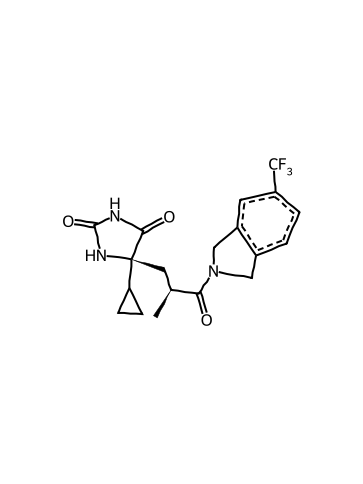 C[C@@H](C[C@@]1(C2CC2)NC(=O)NC1=O)C(=O)N1Cc2ccc(C(F)(F)F)cc2C1